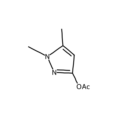 CC(=O)Oc1cc(C)n(C)n1